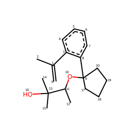 C=C(C)c1ccccc1C1(OC(C)C(C)(C)O)CCCC1